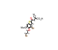 COc1cc2sc(C(=O)CC(C)C(=O)O)cc2c(Br)c1OCCCBr